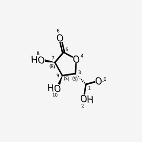 [O]C(O)[C@H]1OC(=O)[C@H](O)[C@@H]1O